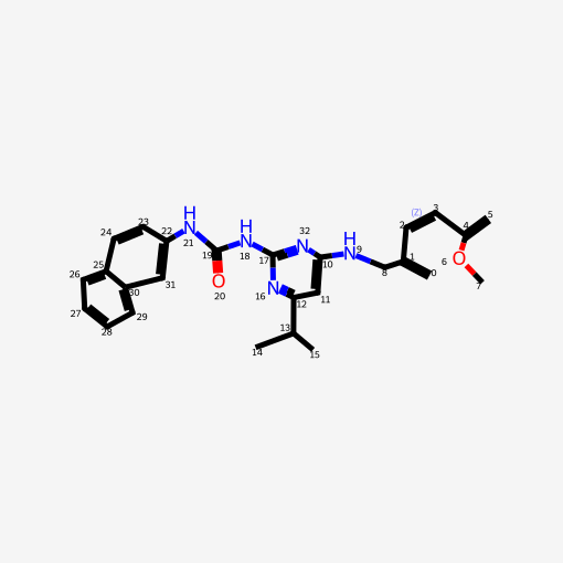 C=C(/C=C\C(=C)OC)CNc1cc(C(C)C)nc(NC(=O)Nc2ccc3ccccc3c2)n1